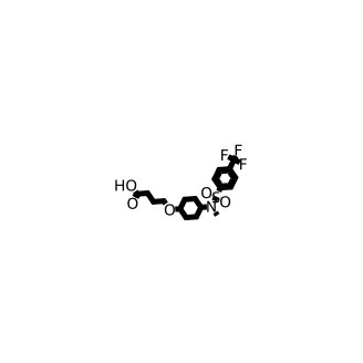 CN(C1CCC(OCCCC(=O)O)CC1)S(=O)(=O)c1ccc(C(F)(F)F)cc1